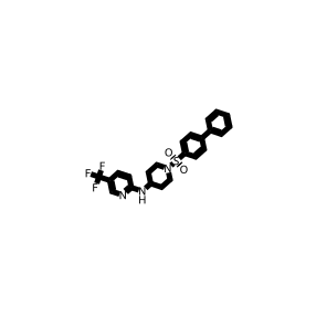 O=S(=O)(c1ccc(-c2ccccc2)cc1)N1CCC(Nc2ccc(C(F)(F)F)cn2)CC1